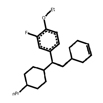 CCCC1CCC(C(CC2CC=CCC2)c2ccc(OCC)c(F)c2)CC1